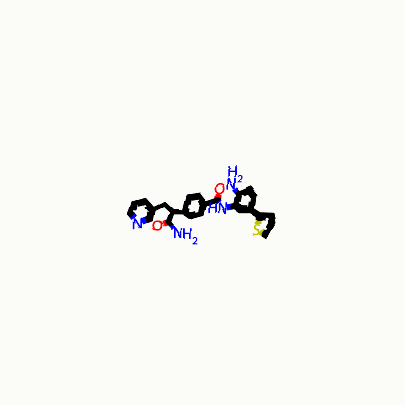 NC(=O)C(Cc1cccnc1)c1ccc(C(=O)Nc2cc(-c3cccs3)ccc2N)cc1